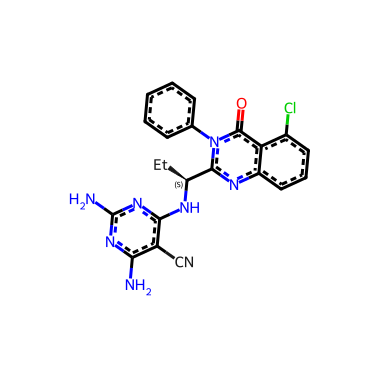 CC[C@H](Nc1nc(N)nc(N)c1C#N)c1nc2cccc(Cl)c2c(=O)n1-c1ccccc1